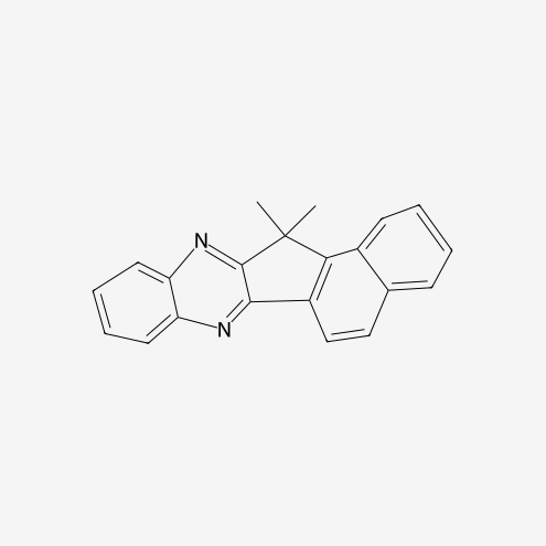 CC1(C)c2nc3ccccc3nc2-c2ccc3ccccc3c21